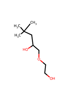 CC(C)(C)CC(O)COCCO